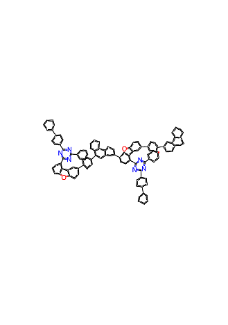 c1ccc(-c2ccc(-c3nc(-c4ccccc4)nc(-c4cccc5oc6ccc(-c7ccc(-c8cc9cc(-c%10ccc(-c%11nc(-c%12ccccc%12)nc(-c%12ccc(-c%13ccccc%13)cc%12)n%11)c%11c%10oc%10ccc(-c%12ccc(-c%13ccc%14ccc%15ccccc%15c%14c%13)cc%12)cc%10%11)ccc9c9ccccc89)cc7)cc6c45)n3)cc2)cc1